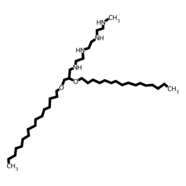 CCCCCCCCCCCCCCCCOCC(CNCCNCCNCCNC)OCCCCCCCCCCCCCCCC